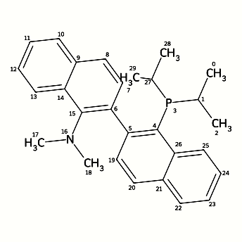 CC(C)P(c1c(-c2ccc3ccccc3c2N(C)C)ccc2ccccc12)C(C)C